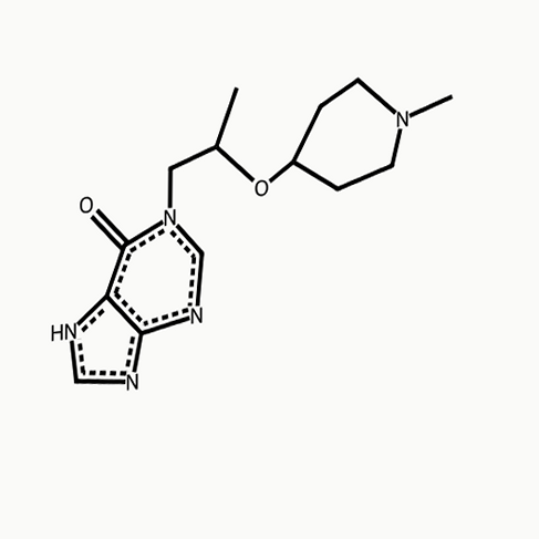 CC(Cn1cnc2nc[nH]c2c1=O)OC1CCN(C)CC1